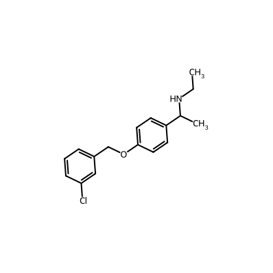 CCNC(C)c1ccc(OCc2cccc(Cl)c2)cc1